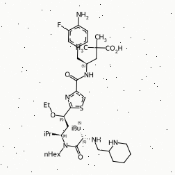 CCCCCCN(C(=O)[C@@H](NCC1CCCCN1)[C@@H](C)CC)[C@H](C[C@@H](OCC)c1nc(C(=O)N[C@@H](Cc2ccc(N)c(F)c2)CC(C)(C)C(=O)O)cs1)C(C)C